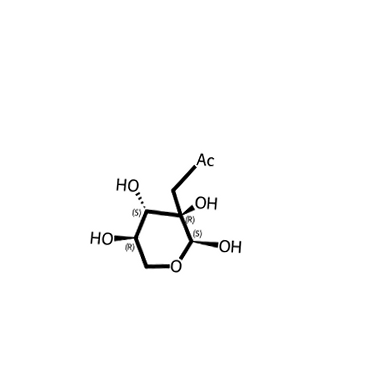 CC(=O)C[C@]1(O)[C@@H](O)OC[C@@H](O)[C@@H]1O